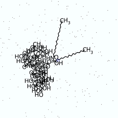 CCCCCCCCCCCCC/C=C/[C@@H](O)[C@H](CO[C@@H]1OC(CO)[C@@H](O[C@@H]2OC(CO)[C@H](O[C@@H]3OC(CO[C@]4(C(=O)O)CC(O)[C@@H](NC(C)=O)C([C@H](O)[C@H](O)CO)O4)[C@H](O)[C@H](O[C@@H]4OC(CO)[C@H](O)[C@H](O)C4O)C3NC(C)=O)[C@H](O[C@]3(C(=O)O)CC(O)[C@@H](NC(C)=O)C([C@H](O)[C@@H](CO)O[C@]4(C(=O)O)CC(O)[C@@H](NC(=O)CO)C([C@H](O)[C@H](O)CO)O4)O3)C2O)[C@H](O)C1O)NC(=O)CCCCCCCCCCCCCCCCC